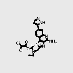 CCN(Cc1nc2c(N)nc3cc(-c4ccn[nH]4)ccc3c2[nH]1)C(=O)OC(=O)C(Cl)Cl